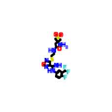 N=C(Nc1ccc(F)c(C(F)F)c1)c1nonc1SCCNC(=O)CC1(N)CS(=O)(=O)C1